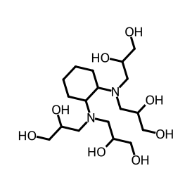 OCC(O)CN(CC(O)CO)C1CCCCC1N(CC(O)CO)CC(O)CO